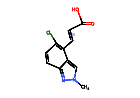 Cn1cc2c(/C=C/C(=O)O)c(Cl)ccc2n1